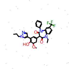 CCCn1cc(C2=C(O)C(OC)CC(C3C(=O)N(CC)c4ccc(C(F)(F)F)cc4N(c4ccccc4)C3=O)=C2)cn1